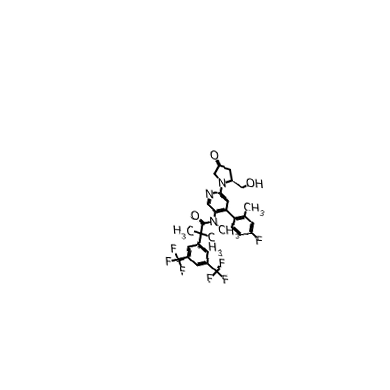 Cc1cc(F)ccc1-c1cc(N2CC(=O)C[C@H]2CO)ncc1N(C)C(=O)C(C)(C)c1cc(C(F)(F)F)cc(C(F)(F)F)c1